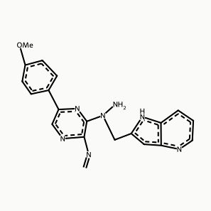 C=Nc1ncc(-c2ccc(OC)cc2)nc1N(N)Cc1cc2ncccc2[nH]1